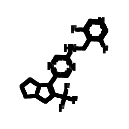 Fc1cncc(F)c1CNc1cnc(C2=C(C(F)(F)F)CC3CCCC23)cn1